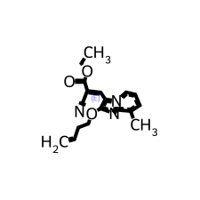 C=CCCOc1nc2c(C)cccn2c1/C=C(\C#N)C(=O)OCC